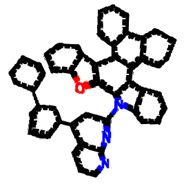 c1ccc(-c2cccc(-c3cc(-n4c5ccccc5c5c6c7ccccc7c7ccccc7c6c6c7ccccc7oc6c54)nc4ncccc34)c2)cc1